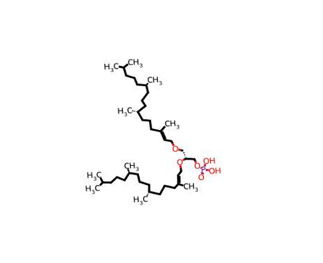 C/C(=C\COC[C@H](COP(=O)(O)O)OC/C=C(\C)CCC[C@H](C)CCC[C@H](C)CCCC(C)C)CCC[C@H](C)CCC[C@H](C)CCCC(C)C